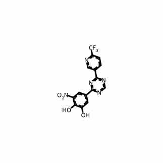 O=[N+]([O-])c1cc(-c2ncnc(-c3ccc(C(F)(F)F)nc3)n2)cc(O)c1O